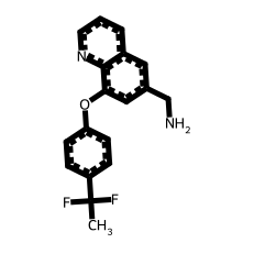 CC(F)(F)c1ccc(Oc2cc(CN)cc3cccnc23)cc1